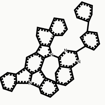 c1ccc(-c2cccc(-c3nc(-n4c5c6ccccc6ccc5c5cc6c7ccccc7n7c8ccccc8c(c54)c67)c4ccccc4n3)c2)cc1